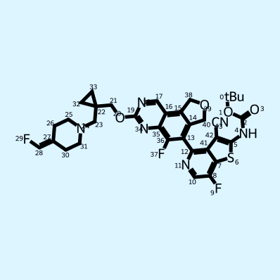 CC(C)(C)OC(=O)Nc1sc2c(F)cnc(-c3c4c(c5cnc(OCC6(CN7CCC(=CF)CC7)CC6)nc5c3F)COC4)c2c1C#N